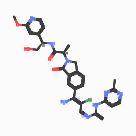 C=C(/N=C\C(Cl)=C(/N)c1ccc2c(c1)C(=O)N([C@H](C)C(=O)N[C@H](CO)c1ccnc(OC)c1)C2)Nc1ccnc(C)n1